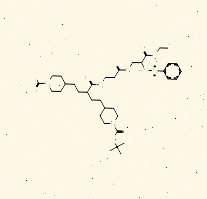 CCOC(=O)C(CNC(=O)CCNC(=O)C(CCC1CCN(C(=O)O)CC1)CCC1CCN(C(=O)OC(C)(C)C)CC1)NS(=O)(=O)c1ccccc1